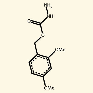 COc1ccc(COC(=O)NN)c(OC)c1